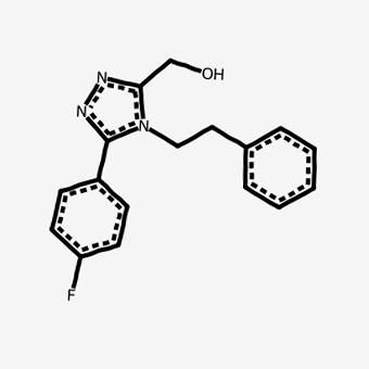 OCc1nnc(-c2ccc(F)cc2)n1CCc1ccccc1